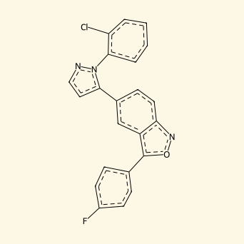 Fc1ccc(-c2onc3ccc(-c4ccnn4-c4ccccc4Cl)cc23)cc1